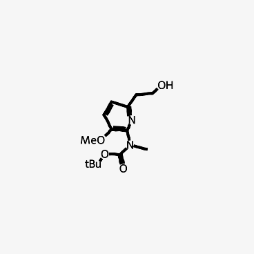 COc1ccc(CCO)nc1N(C)C(=O)OC(C)(C)C